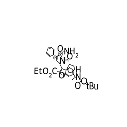 CCOC(=O)c1oc2ccccc2c1C1C[C@H](c2ccccc2)[C@@H](C(N)=O)N1C(=O)[C@H]1CC[C@H](C(C)NC(=O)OC(C)(C)C)CC1